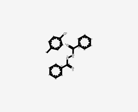 Cc1ccc(Cl)cc1.O=C(OOC(=O)c1ccccc1)c1ccccc1